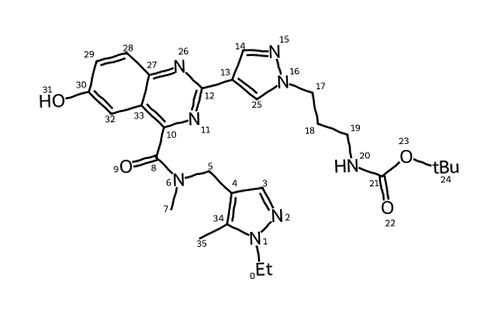 CCn1ncc(CN(C)C(=O)c2nc(-c3cnn(CCCNC(=O)OC(C)(C)C)c3)nc3ccc(O)cc23)c1C